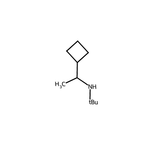 CC(NC(C)(C)C)C1CCC1